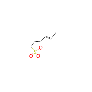 CC=CC1CCS(=O)(=O)O1